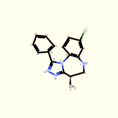 C[C@@H]1CNc2cc(Cl)ccc2-n2c(-c3ccccc3)nnc21